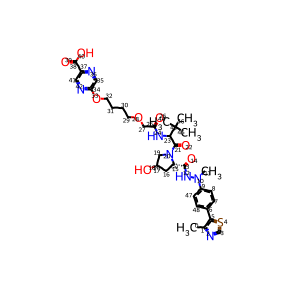 Cc1ncsc1-c1ccc(N(C)NC(=O)[C@@H]2C[C@@H](O)CN2C(=O)C(NC(=O)COCCCCOc2cnc(C(=O)O)cn2)C(C)(C)C)cc1